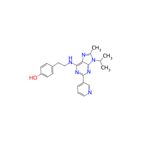 Cc1nc2c(NCCc3ccc(O)cc3)nc(-c3cccnc3)nc2n1C(C)C